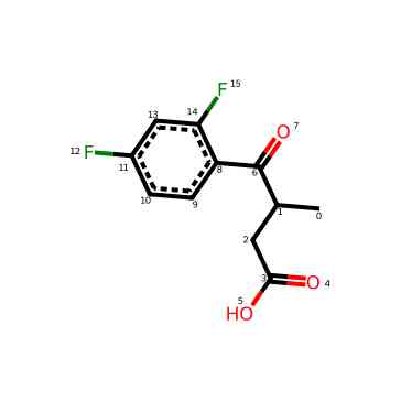 CC(CC(=O)O)C(=O)c1ccc(F)cc1F